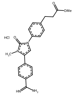 COC(=O)CCc1ccc(-n2cc(-c3ccc(C(=N)N)cc3)n(C)c2=O)cc1.Cl